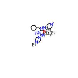 CCOC(=O)/N=C(\NC(CC1CCCCC1)C(=O)NC1(C#N)CCN(C)CC1)N1CCN(CC)CC1